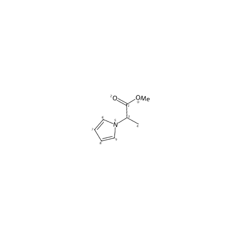 COC(=O)C(C)n1cccc1